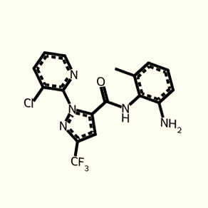 Cc1cccc(N)c1NC(=O)c1cc(C(F)(F)F)nn1-c1ncccc1Cl